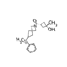 C[C@H](c1ccccc1)C1CC2(C1)CN(C(=O)[C@H]1C[C@@](C)(O)C1)C2